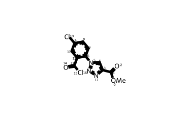 COC(=O)c1cn(-c2ccc(Cl)cc2C(=O)Cl)nn1